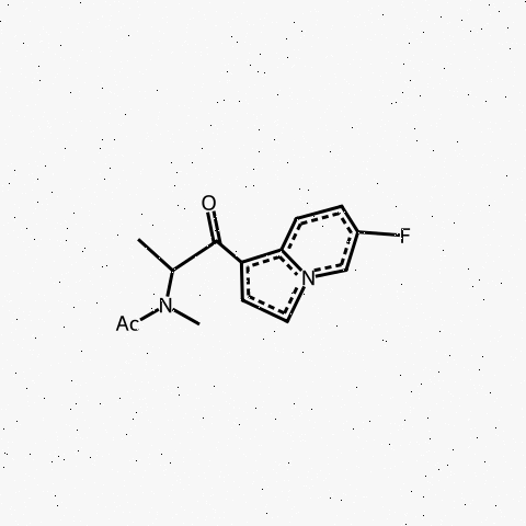 CC(=O)N(C)C(C)C(=O)c1ccn2cc(F)ccc12